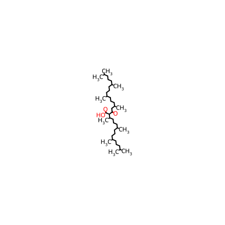 CC(C)CCCC(C)CCCC(C)CCCC(C)CC(=O)C(C(=O)O)C(C)CCCC(C)CCCC(C)CCCC(C)C